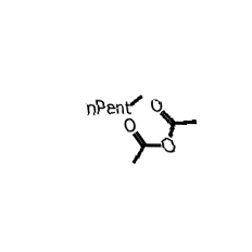 CC(=O)OC(C)=O.CCCCCC